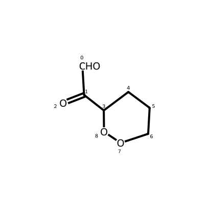 O=CC(=O)C1CCCOO1